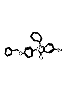 O=c1c2cc(Br)ccc2n(C2CCCCC2)n1-c1ccc(OCc2ccccc2)cc1